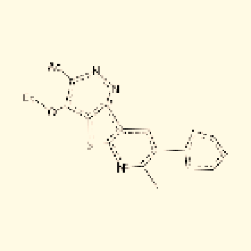 CCOc1c(C(C)=O)nnc2c1sc1nc(C)c(-c3ccccc3)cc12